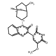 COc1cn(-c2nc3c(n([C@H]4CC5N[C@@H](CCC5C)C4)c2=O)=CCCC=3)c(=O)[nH]c1=O